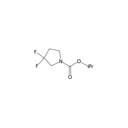 CC(C)OC(=O)N1CCC(F)(F)C1